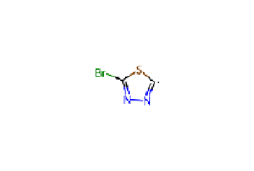 Brc1nn[c]s1